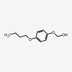 CCCCOc1ccc(OCO)cc1